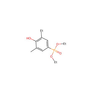 CCOP(=O)(OCC)c1cc(C)c(O)c(CC)c1